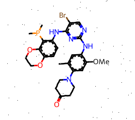 COc1cc(N2CCC(=O)CC2)c(C)cc1Nc1ncc(Br)c(Nc2ccc3c(c2P(C)C)OCCO3)n1